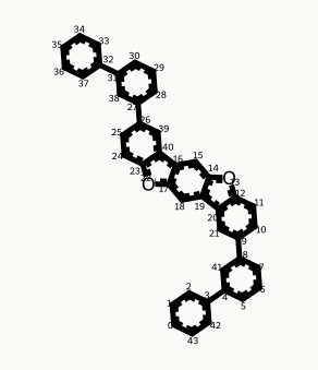 c1ccc(-c2cccc(-c3ccc4oc5cc6c(cc5c4c3)oc3ccc(-c4cccc(-c5ccccc5)c4)cc36)c2)cc1